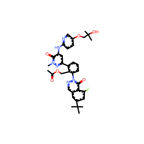 CC(=O)OCc1c(-c2cc(Nc3ccc(OCC(C)(C)O)cn3)c(=O)n(C)n2)cccc1-n1ncc2cc(C(C)(C)C)cc(F)c2c1=O